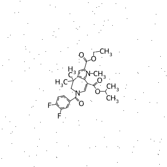 CCOC(=O)c1cc2c(n1C)C(C(=O)OC(C)C)=CN(C(=O)c1ccc(F)c(F)c1)CC2(C)C